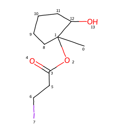 CC1(OC(=O)CCI)CCCCC1O